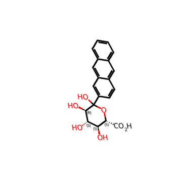 O=C(O)[C@H]1OC(O)(c2ccc3cc4ccccc4cc3c2)[C@H](O)[C@@H](O)[C@@H]1O